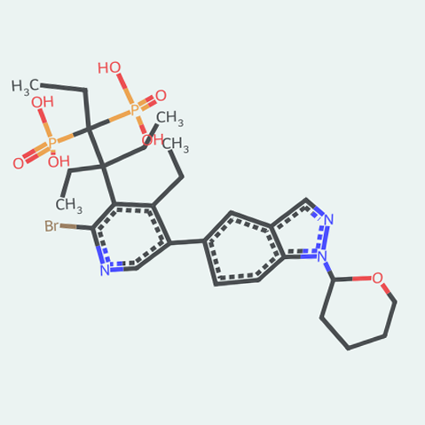 CCc1c(-c2ccc3c(cnn3C3CCCCO3)c2)cnc(Br)c1C(CC)(CC)C(CC)(P(=O)(O)O)P(=O)(O)O